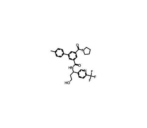 Cc1ccc(-c2cc(C(=O)NC(CCO)c3ccc(C(F)(F)F)nc3)cc(C(=O)N3CCCC3)c2)cc1